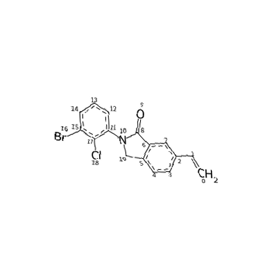 C=Cc1ccc2c(c1)C(=O)N(c1cccc(Br)c1Cl)C2